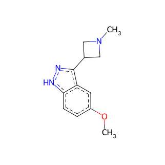 COc1ccc2[nH]nc(C3CN(C)C3)c2c1